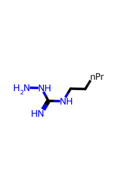 CCCCCNC(=N)NN